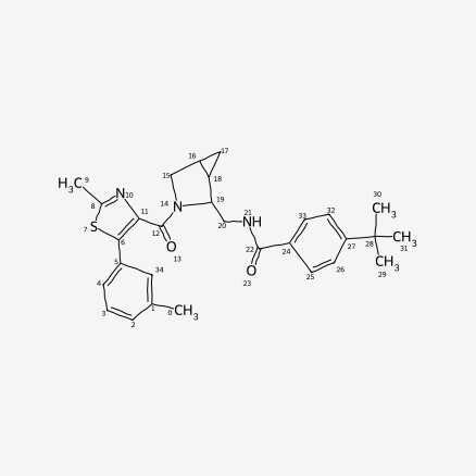 Cc1cccc(-c2sc(C)nc2C(=O)N2CC3CC3C2CNC(=O)c2ccc(C(C)(C)C)cc2)c1